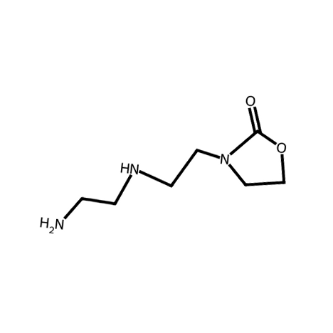 NCCNCCN1CCOC1=O